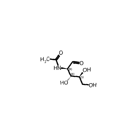 CC(=O)N[C@@H](C=O)[C@@H](O)[C@@H](O)CO